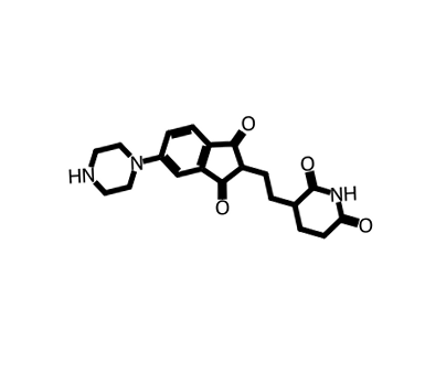 O=C1CCC(CCC2C(=O)c3ccc(N4CCNCC4)cc3C2=O)C(=O)N1